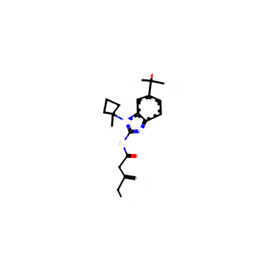 C=C(CC)CC(=O)Nc1nc2ccc(C(C)(C)O)cc2n1C1(C)CCC1